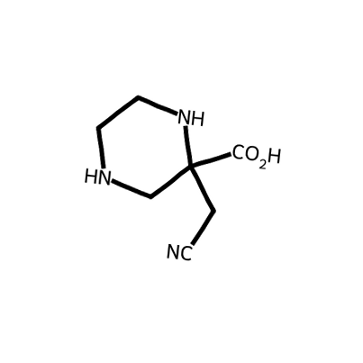 N#CCC1(C(=O)O)CNCCN1